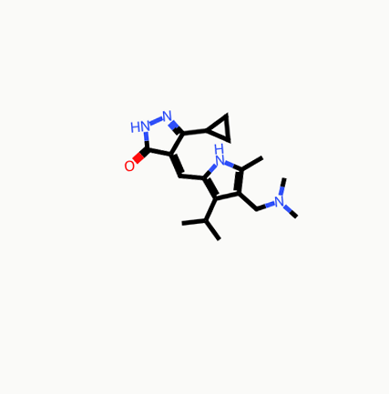 Cc1[nH]c(C=C2C(=O)NN=C2C2CC2)c(C(C)C)c1CN(C)C